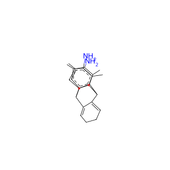 CC1=CC2C3C4=CCCC=C4C(c4c3cc(C)c(N)c4C)C2C(C)=C1N